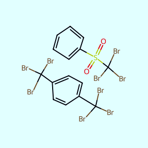 BrC(Br)(Br)c1ccc(C(Br)(Br)Br)cc1.O=S(=O)(c1ccccc1)C(Br)(Br)Br